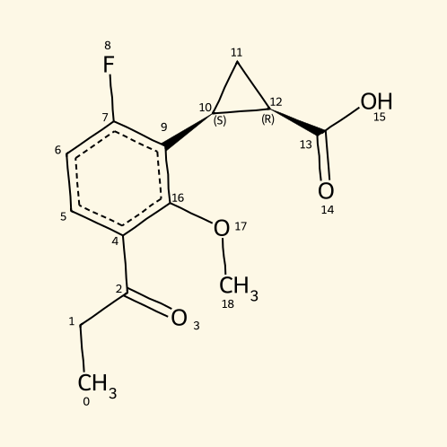 CCC(=O)c1ccc(F)c([C@H]2C[C@H]2C(=O)O)c1OC